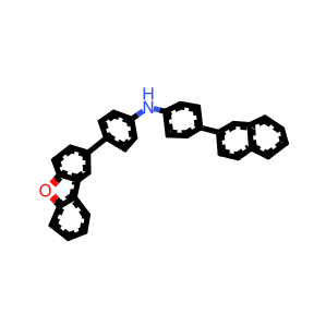 c1ccc2cc(-c3ccc(Nc4ccc(-c5ccc6oc7ccccc7c6c5)cc4)cc3)ccc2c1